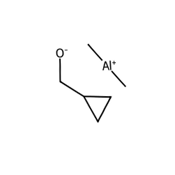 [CH3][Al+][CH3].[O-]CC1CC1